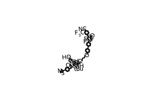 CC(C)(C)C(NC(=O)COCCCCOc1ccc(-c2ccc(N3C(=S)N(c4ccc(C#N)c(C(F)(F)F)c4)C(=O)C3(C)C)c(F)c2)cc1)C(=O)N(Cc1ccc(-c2cncs2)cc1)C(=O)[C@@H]1C[C@@H](O)CN1